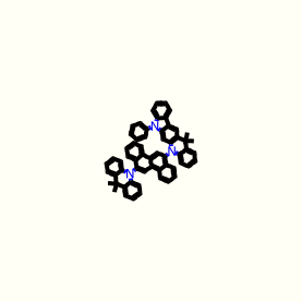 CC1(C)c2ccccc2N(c2cc3c4ccccc4c(N4c5ccccc5C(C)(C)c5cc6c7ccccc7n(-c7ccccc7)c6cc54)cc3c3ccccc23)c2ccccc21